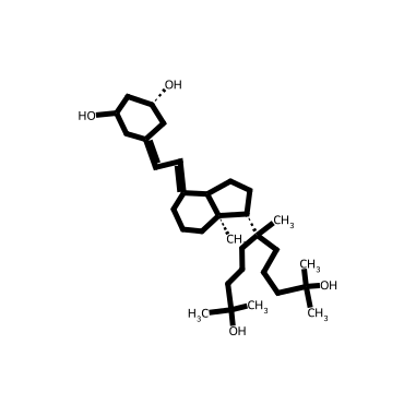 CC(C)(O)CCCC(C)(CCCC(C)(C)O)[C@H]1CCC2/C(=C/C=C3/CC(O)C[C@H](O)C3)CCC[C@@]21C